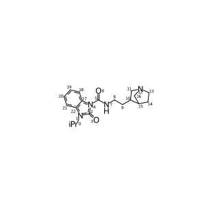 CC(C)n1c(=O)n(C(=O)NCCC2CN3CCC2C3)c2ccccc21